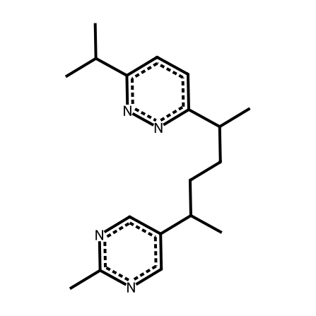 Cc1ncc(C(C)CCC(C)c2ccc(C(C)C)nn2)cn1